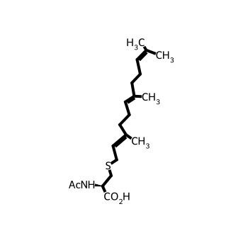 CC(=O)N[C@@H](CSC/C=C(\C)CC/C=C(\C)CCC=C(C)C)C(=O)O